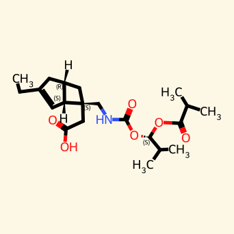 CCC1=C[C@@H]2[C@H](C1)C[C@]2(CNC(=O)O[C@H](OC(=O)C(C)C)C(C)C)CC(=O)O